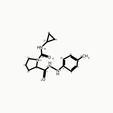 Cc1ccc(NNC(=O)C2CCCN2C(=O)NC2CC2)cc1